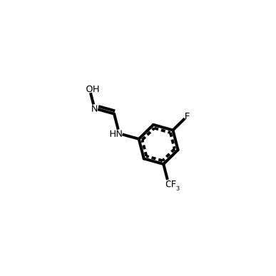 ON=CNc1cc(F)cc(C(F)(F)F)c1